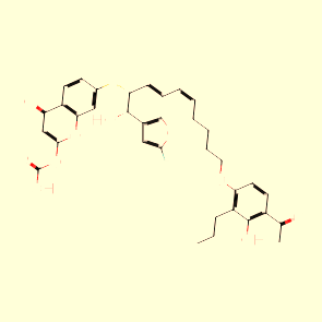 CCCc1c(OCCCC/C=C\C=C\[C@H](Sc2ccc3c(=O)cc(OC(=O)O)oc3c2)[C@H](O)c2coc(F)c2)ccc(C(C)=O)c1O